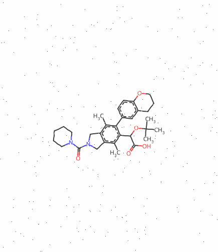 Cc1c2c(c(C)c(C(OC(C)(C)C)C(=O)O)c1-c1ccc3c(c1)CCCO3)CN(C(=O)N1CCCCC1)C2